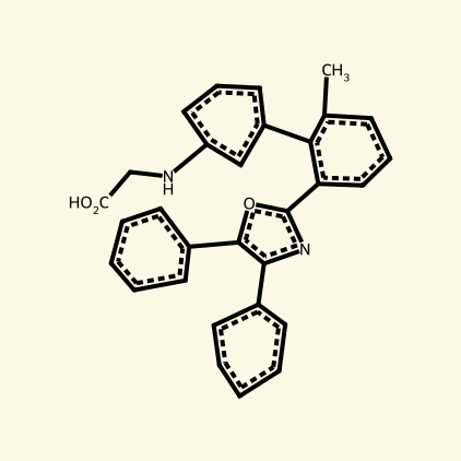 Cc1cccc(-c2nc(-c3ccccc3)c(-c3ccccc3)o2)c1-c1cccc(NCC(=O)O)c1